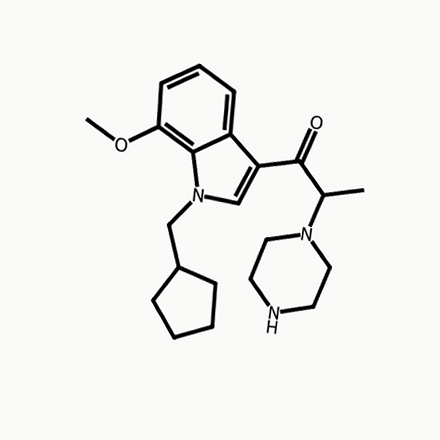 COc1cccc2c(C(=O)C(C)N3CCNCC3)cn(CC3CCCC3)c12